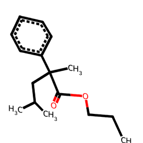 CCCOC(=O)C(C)(CC(C)C)c1ccccc1